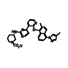 Cc1cnn(-c2cccc3c(Oc4ncccc4-c4ccnc(N[C@H]5CCCN(C(=O)O)C5)n4)c(C)ccc23)c1